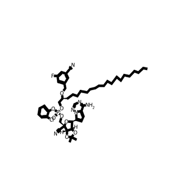 CCCCCCCCCCCCCCCCCCC[C@@H](COP(=O)(OC[C@@]1(C#N)O[C@@H](c2ccc3c(N)ncnn23)[C@@H]2OC(C)(C)O[C@@H]21)Oc1ccccc1Cl)OCc1cc(F)cc(C#N)c1